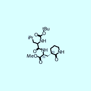 COC(=O)[C@H](C[C@@H]1CCCNC1=O)NC(=O)C(CC(C)C)NC(=O)OC(C)(C)C